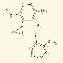 COc1ccc(N)c(F)c1C1CC1.COc1ccccc1F